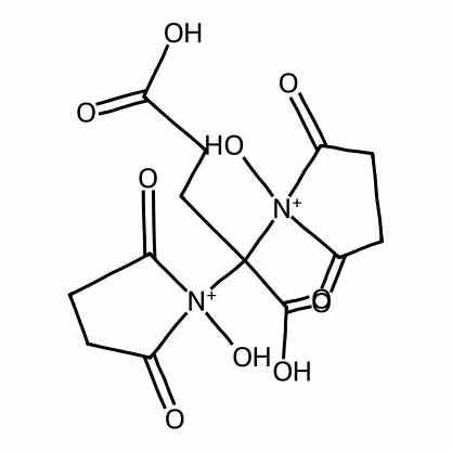 O=C(O)CCC(C(=O)O)([N+]1(O)C(=O)CCC1=O)[N+]1(O)C(=O)CCC1=O